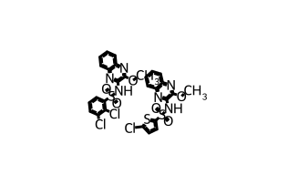 COc1nc2ccccc2nc1NS(=O)(=O)c1ccc(Cl)s1.COc1nc2ccccc2nc1NS(=O)(=O)c1cccc(Cl)c1Cl